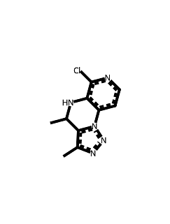 Cc1nnn2c1C(C)Nc1c-2ccnc1Cl